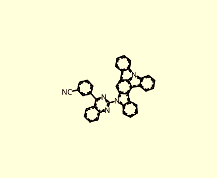 N#Cc1cccc(-c2nc(-n3c4ccccc4c4c5c6ccccc6n6c7ccccc7c(cc43)c56)nc3ccccc23)c1